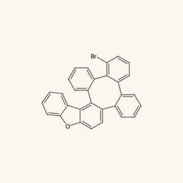 Brc1cccc2c1-c1ccccc1-c1c(ccc3oc4ccccc4c13)-c1ccccc1-2